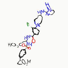 O=C(O)CC(NC(=O)c1ccc(N2CCC(NC3=NCCCN3)CC2)c(F)c1)NS(=O)(=O)c1ccc(C(=O)O)cc1